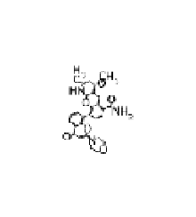 COc1cc(C)[nH]c(=O)c1Cc1cc(-c2cccc3c(=O)cc(N4CCOCC4)oc23)ccc1C(N)=O